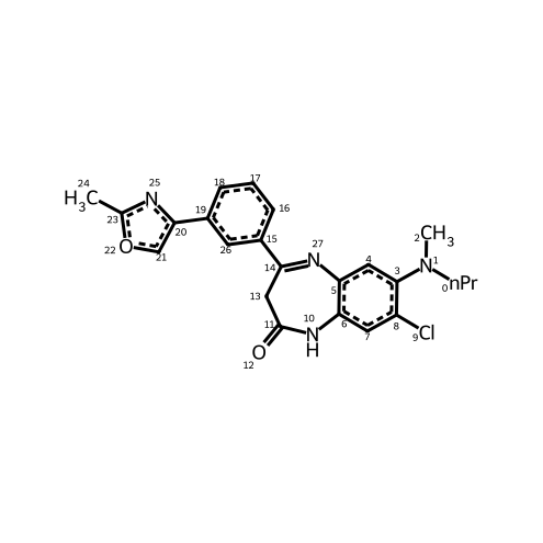 CCCN(C)c1cc2c(cc1Cl)NC(=O)CC(c1cccc(-c3coc(C)n3)c1)=N2